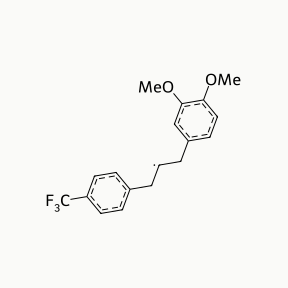 COc1ccc(C[CH]Cc2ccc(C(F)(F)F)cc2)cc1OC